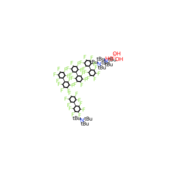 CC(C)(C)N(C(C)(C)C)C(C)(C)C.CC(C)(C)N(C(C)(C)C)C(C)(C)C.CC(C)(C)N(C(C)(C)C)C(C)(C)C.Fc1c(F)c(F)c(-c2c(F)c(F)c(F)c(F)c2F)c(F)c1F.Fc1c(F)c(F)c(-c2c(F)c(F)c(F)c(F)c2F)c(F)c1F.Fc1c(F)c(F)c(-c2c(F)c(F)c(F)c(F)c2F)c(F)c1F.Fc1c(F)c(F)c(-c2c(F)c(F)c(F)c(F)c2F)c(F)c1F.OB(O)O